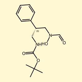 CC(C)(C)OC(=O)NC[C@@H](CN(O)C=O)c1ccccc1